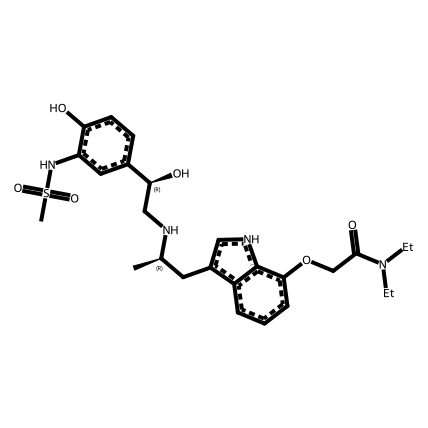 CCN(CC)C(=O)COc1cccc2c(C[C@@H](C)NC[C@H](O)c3ccc(O)c(NS(C)(=O)=O)c3)c[nH]c12